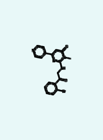 Cn1c(NCC(=O)c2ccccc2Br)nc(-c2ccncc2)cc1=O